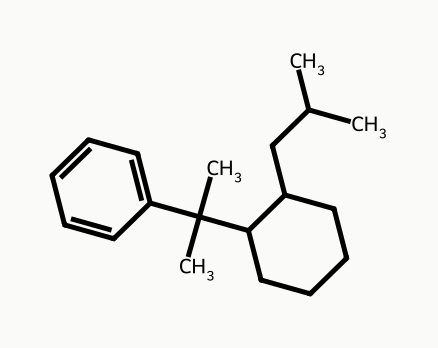 CC(C)CC1CCCCC1C(C)(C)c1ccccc1